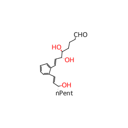 CCCCC[C@@H](O)/C=C/c1ccccc1/C=C/[C@@H](O)[C@@H](O)CCCC=O